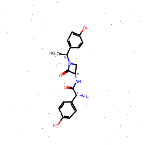 N[C@@H](C(=O)N[C@H]1CN([C@@H](C(=O)O)c2ccc(O)cc2)C1=O)c1ccc(O)cc1